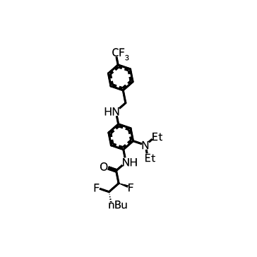 CCCC[C@H](F)[C@H](F)C(=O)Nc1ccc(NCc2ccc(C(F)(F)F)cc2)cc1N(CC)CC